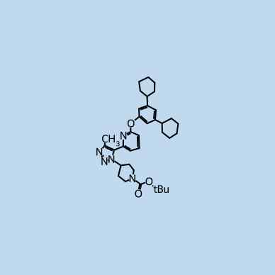 Cc1nnn(C2CCN(C(=O)OC(C)(C)C)CC2)c1-c1cccc(Oc2cc(C3CCCCC3)cc(C3CCCCC3)c2)n1